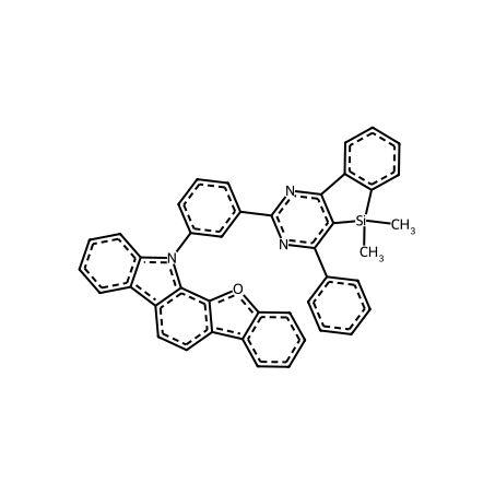 C[Si]1(C)c2ccccc2-c2nc(-c3cccc(-n4c5ccccc5c5ccc6c7ccccc7oc6c54)c3)nc(-c3ccccc3)c21